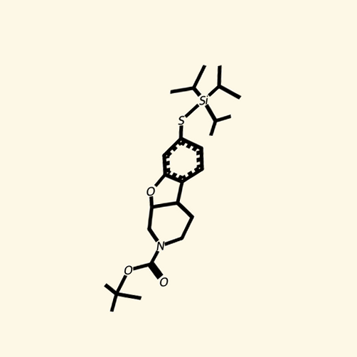 CC(C)[Si](Sc1ccc2c(c1)OC1CN(C(=O)OC(C)(C)C)CCC21)(C(C)C)C(C)C